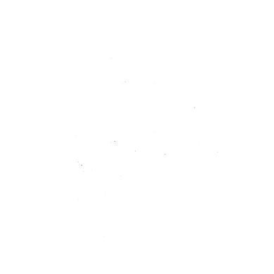 C=CC(=O)OCC(COC(=O)C(=C)C)(COC(=O)C(=C)C)OC(N)=O